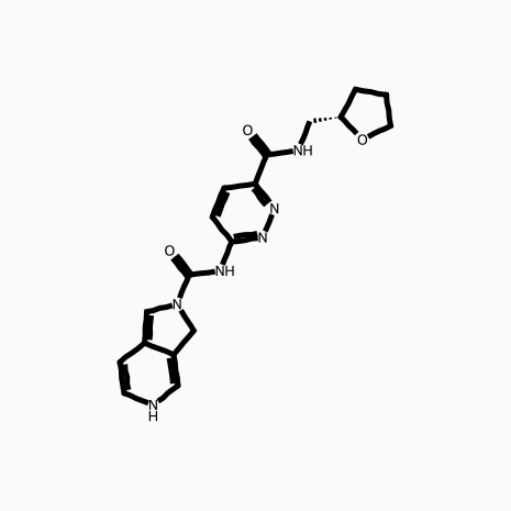 O=C(NC[C@@H]1CCCO1)c1ccc(NC(=O)N2C=C3C=CNC=C3C2)nn1